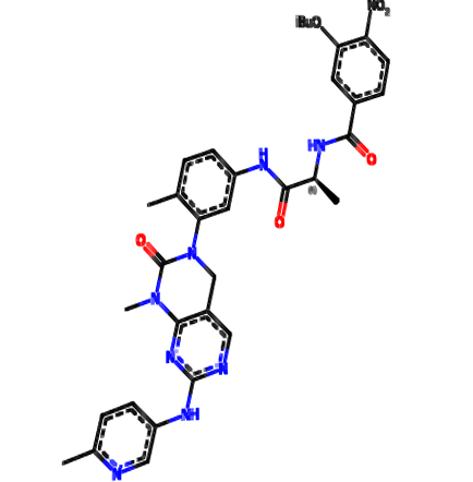 Cc1ccc(Nc2ncc3c(n2)N(C)C(=O)N(c2cc(NC(=O)[C@H](C)NC(=O)c4ccc([N+](=O)[O-])c(OCC(C)C)c4)ccc2C)C3)cn1